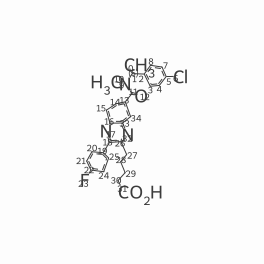 C[C@@H](c1ccc(Cl)cc1)N(C)C(=O)c1ccc2nc(-c3ccc(F)cc3)c(CCCCC(=O)O)nc2c1